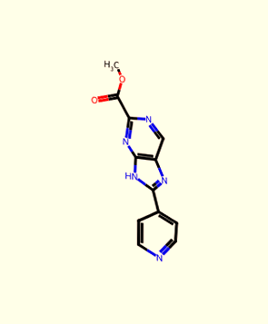 COC(=O)c1ncc2nc(-c3ccncc3)[nH]c2n1